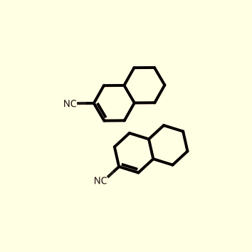 N#CC1=CC2CCCCC2CC1.N#CC1=CCC2CCCCC2C1